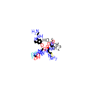 CC1(C)[C@H](NC(=O)/C(=N\O[C@@H](COc2ccc3c(NCCN)nccc3c2)c2nn[nH]n2)c2csc(N)n2)C(=O)N1OS(=O)(=O)O.O=C(O)C(F)(F)F